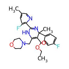 CCOC(=O)C1=C(CN2CCOCC2)NC(c2ncc(C)cc2F)=NC1(C)c1ccc(F)cc1